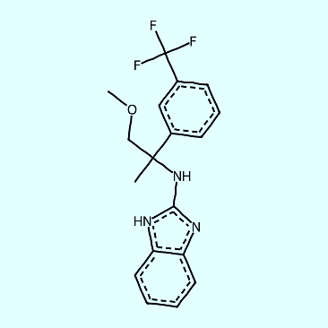 COCC(C)(Nc1nc2ccccc2[nH]1)c1cccc(C(F)(F)F)c1